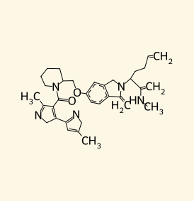 C=CCCC(C(=C)NC)N1Cc2cc(OCC3CCCCN3C(=O)C3=C(C4=NCC(C)=C4)CN=C3C)ccc2C1=C